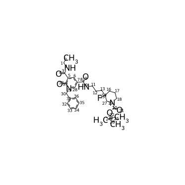 CCNC(=O)c1cc(C(=O)NCCCC2(F)CCCN(C(=O)OC(C)(C)C)C2)cn(Cc2ccccc2)c1=O